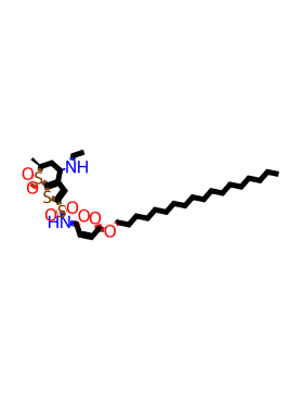 CCCCCCCCCCCCCCCCCCOC(=O)/C=C\C(=O)NS(=O)(=O)c1cc2c(s1)S(=O)(=O)[C@@H](C)C[C@@H]2NCC